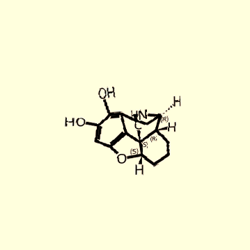 Oc1cc2c3c(c1O)C[C@H]1NCC[C@@]34[C@H](CCC[C@@H]14)O2